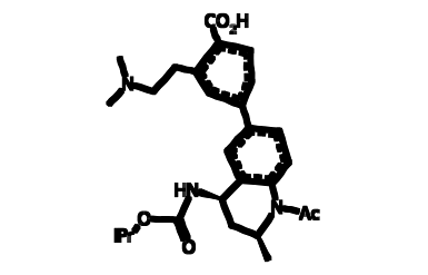 CC(=O)N1c2ccc(-c3ccc(C(=O)O)c(CCN(C)C)c3)cc2[C@H](NC(=O)OC(C)C)C[C@@H]1C